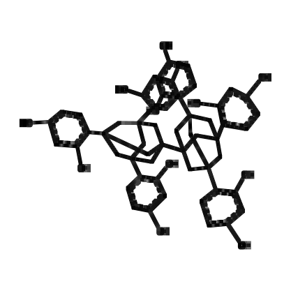 Oc1ccc(C23CC4(c5ccc(O)cc5O)CC(c5ccc(O)cc5O)(C2)CC(C25CC6(c7ccc(O)cc7O)CC(c7ccc(O)cc7O)(CC(c7ccc(O)cc7O)(C6)C2)C5)(C3)C4)c(O)c1